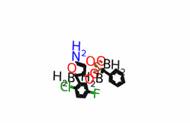 BC1(c2cc(F)ccc2Cl)OC(N)=C(OS(=O)(=O)C(B)(B)c2ccccc2)C1=O